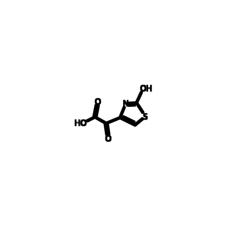 O=C(O)C(=O)c1csc(O)n1